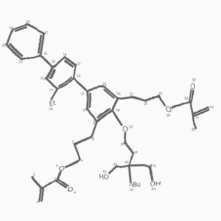 C=C(C)C(=O)OCCCc1cc(-c2ccc(-c3ccccc3)cc2CC)cc(CCCOC(=O)C(=C)C)c1OCCC(CO)(CO)CCCC